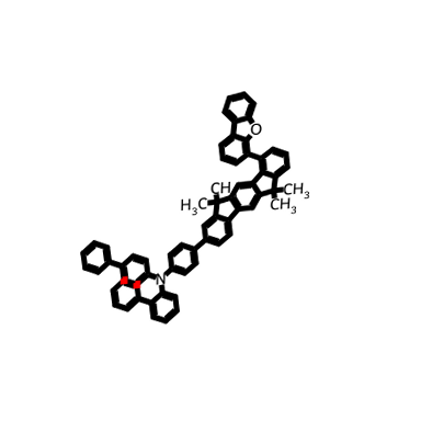 CC1(C)c2cc(-c3ccc(N(c4ccc(-c5ccccc5)cc4)c4ccccc4-c4ccccc4)cc3)ccc2-c2cc3c(cc21)-c1c(-c2cccc4c2oc2ccccc24)cccc1C3(C)C